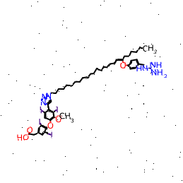 CCCCCCC(CCCCCCCCCCCCCCCCCCCn1cc(-c2c(I)cc(Oc3c(I)cc(CC(=O)O)cc3I)c(OC)c2I)nn1)Oc1ccc(CNC(=N)N)cc1